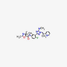 C=Nc1nc(-c2cc(N(C)C(=O)c3oc(C)nc3C)ccc2F)nn1/C=C(\C)c1ccccn1